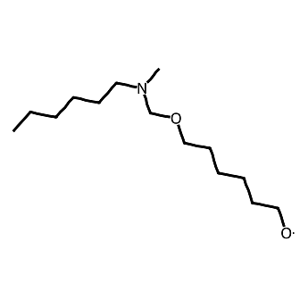 CCCCCCN(C)COCCCCCC[O]